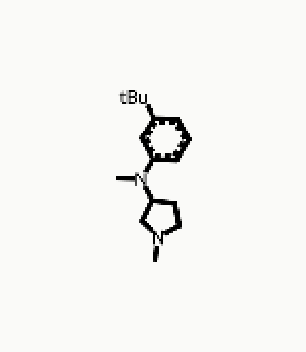 CN1CCC(N(C)c2cccc(C(C)(C)C)c2)C1